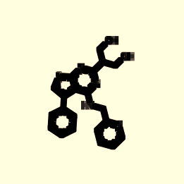 OCC(CO)c1nc(NCc2ccccn2)c2c(-c3ccccc3)csc2n1